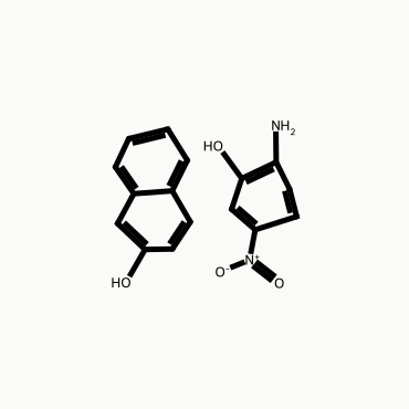 Nc1ccc([N+](=O)[O-])cc1O.Oc1ccc2ccccc2c1